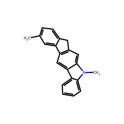 Cc1ccc2c(c1)-c1cc3c4ccccc4n(C)c3cc1C2